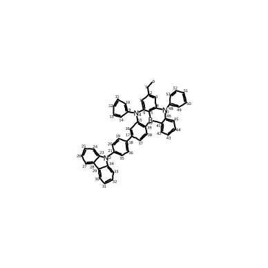 CCc1cc2c3c(c1)N(c1ccccc1)c1cc(-c4ccc(-n5c6ccccc6c6ccccc65)cc4)ccc1B3c1ccccc1N2c1ccccc1